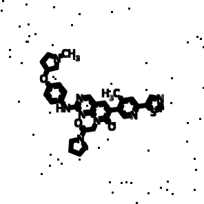 Cc1cc(-c2cncs2)ncc1-c1cc2cnc(Nc3ccc(OC4CCN(C)C4)cc3)nc2n(CC(=O)N2CCCC2)c1=O